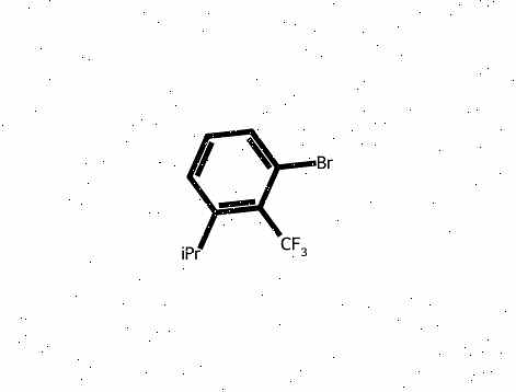 [CH2]C(C)c1cccc(Br)c1C(F)(F)F